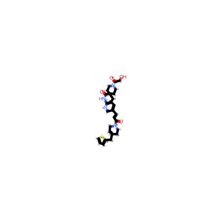 O=C(C=Cc1cnc2c(c1)CC1(CCN(C(=O)CO)CC1)C(=O)N2)N1CC=C(Cc2cccs2)CC1